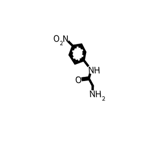 NCC(=O)Nc1ccc([N+](=O)[O-])cc1